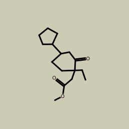 CCC1(CC(=O)OC)CCC(C2CCCC2)CC1=O